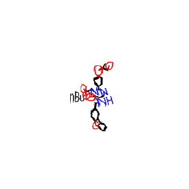 CCCCOC(=O)Cn1c(-c2ccc(OC3COC3)cc2)ncc(NCc2ccc3oc4ccccc4c3c2)c1=O